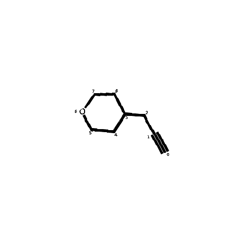 C#CCC1CCOCC1